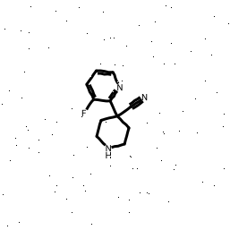 N#CC1(c2ncccc2F)CCNCC1